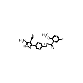 COc1ccc(F)cc1C(=O)NCc1ccc(-c2n[nH]c(N)c2C#N)cc1